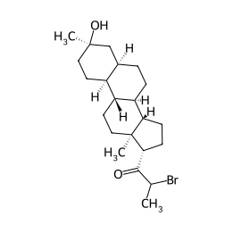 CC(Br)C(=O)[C@H]1CC[C@H]2[C@@H]3CC[C@@H]4C[C@](C)(O)CC[C@@H]4[C@H]3CC[C@]12C